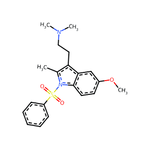 COc1ccc2c(c1)c(CCN(C)C)c(C)n2S(=O)(=O)c1ccccc1